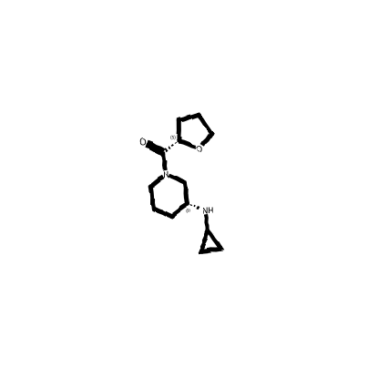 O=C([C@@H]1CCCO1)N1CCC[C@@H](NC2CC2)C1